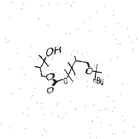 CCCCC(C)(C)OCC(C)C(C)(C)C(C)(C)OC(=O)OCC(C)C(C)(C)O